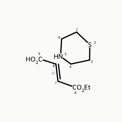 C1CSCCN1.CCOC(=O)/C=C/C(=O)O